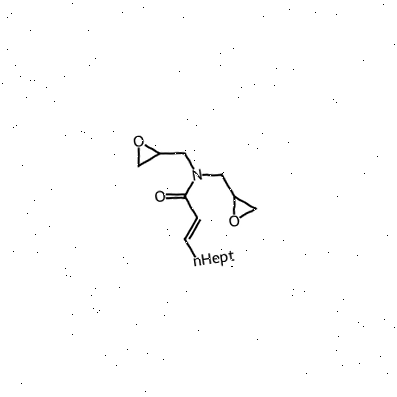 CCCCCCCC=CC(=O)N(CC1CO1)CC1CO1